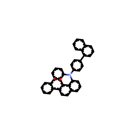 c1ccc(N(c2ccc(-c3cccc4ccccc34)cc2)c2cccc3ccc4c5ccccc5ccc4c23)cc1